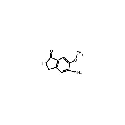 COc1cc2c(cc1N)CNC2=O